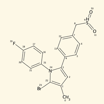 Cc1cc(-c2ccc(C[SH](=O)=O)cc2)n(-c2ccc(F)cc2)c1Br